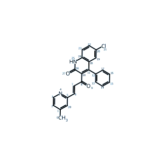 Cc1ccnc(C=CC(=O)c2c(-c3ccccc3)c3cc(Cl)ccc3[nH]c2=O)c1